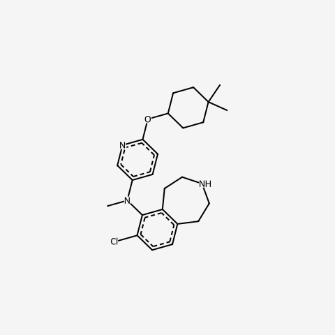 CN(c1ccc(OC2CCC(C)(C)CC2)nc1)c1c(Cl)ccc2c1CCNCC2